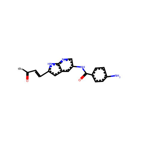 CC(C)(C)C(=O)/C=C/c1cc2cc(NC(=O)c3ccc(N)cc3)cnc2[nH]1